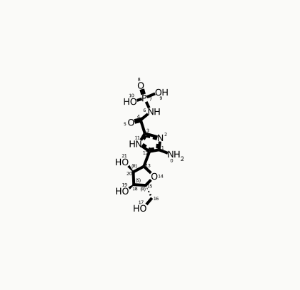 Nc1nc(C(=O)NP(=O)(O)O)[nH]c1C1O[C@H](CO)[C@@H](O)[C@H]1O